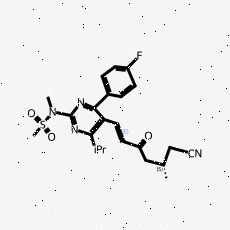 CC(C)c1nc(N(C)S(C)(=O)=O)nc(-c2ccc(F)cc2)c1/C=C/C(=O)C[C@@H](C)CC#N